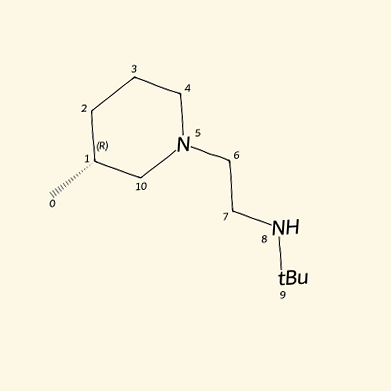 C[C@@H]1CCCN(CCNC(C)(C)C)C1